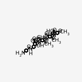 COc1ccc(N=Nc2cc(OC)c(N=Nc3cc(OC)c(N=Nc4c(S(=O)(=O)O)cc5cc(NC(=O)c6ccc(N)cc6)ccc5c4O)cc3OC)cc2OC)c(S(=O)(=O)O)c1